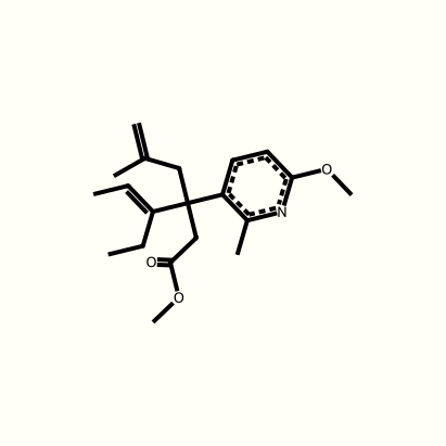 C=C(C)CC(CC(=O)OC)(/C(=C/C)CC)c1ccc(OC)nc1C